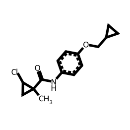 CC1(C(=O)Nc2ccc(OCC3CC3)cc2)CC1Cl